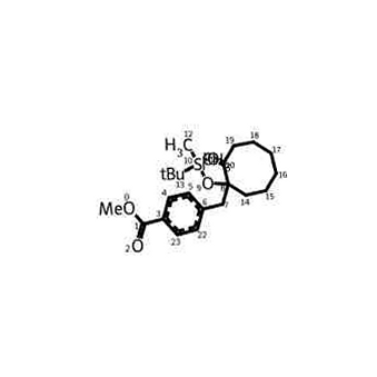 COC(=O)c1ccc(CC2(O[Si](C)(C)C(C)(C)C)CCCCCCC2=O)cc1